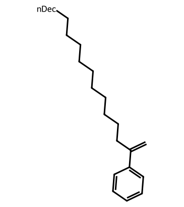 C=C(CCCCCCCCCCCCCCCCCCCC)c1ccccc1